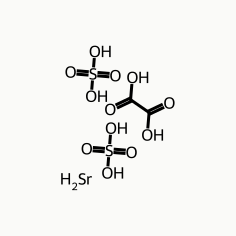 O=C(O)C(=O)O.O=S(=O)(O)O.O=S(=O)(O)O.[SrH2]